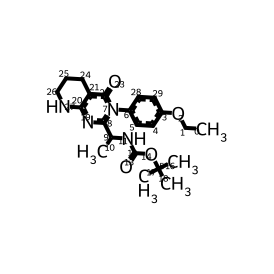 CCOc1ccc(-n2c(C(C)NC(=O)OC(C)(C)C)nc3c(c2=O)CCCN3)cc1